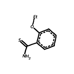 CCOc1ccccc1C(N)=S